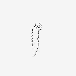 CCCCCCCCCCCCCC=C(C)C(=O)OC(=O)C(C)=CCCCCCCCCCCCCCC